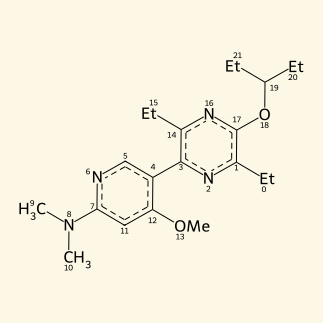 CCc1nc(-c2cnc(N(C)C)cc2OC)c(CC)nc1OC(CC)CC